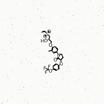 CCS(=O)(=O)C[C@@H](O)COc1ccc(N2CCC(Oc3ccc(OC(F)(F)F)cc3)C2=O)cc1C